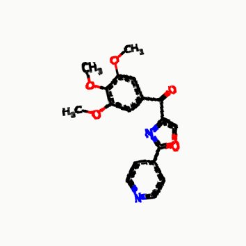 COc1cc(C(=O)c2coc(-c3ccncc3)n2)cc(OC)c1OC